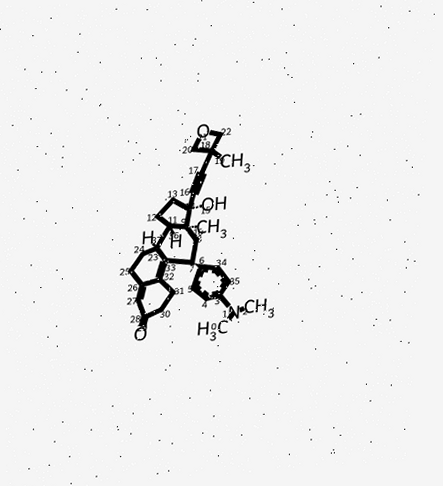 CN(C)c1ccc([C@H]2C[C@@]3(C)[C@@H](CC[C@@]3(O)C#CC3(C)COC3)[C@@H]3CCC4=CC(=O)CCC4=C32)cc1